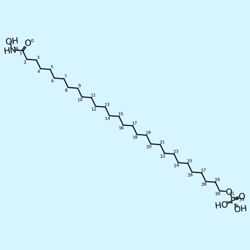 O=C(CCCCCCCCCCCCCCCCCCCCCCCCCCCCCOP(=O)(O)O)NO